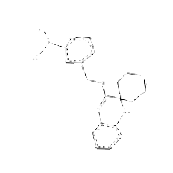 CN(C)c1cccc(CNC2=Nc3ccccc3NC23CCOCC3)c1